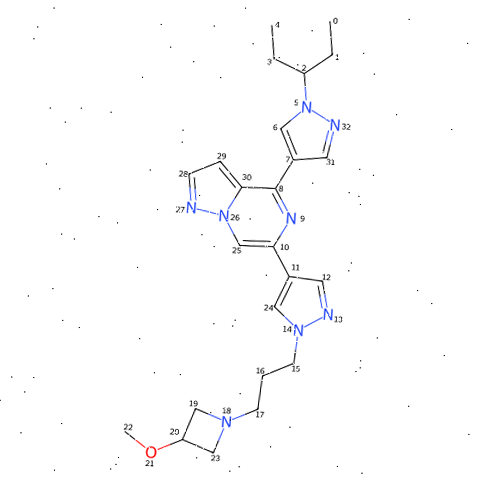 CCC(CC)n1cc(-c2nc(-c3cnn(CCCN4CC(OC)C4)c3)cn3nccc23)cn1